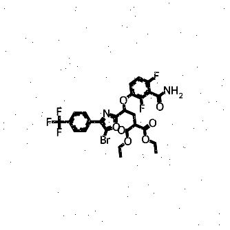 CCOC(=O)C(CC(Oc1ccc(F)c(C(N)=O)c1F)c1nc(-c2ccc(C(F)(F)F)cc2)c(Br)o1)C(=O)OCC